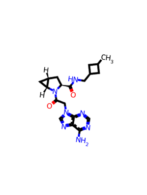 CC1CC(CNC(=O)[C@@H]2C[C@H]3C[C@H]3N2C(=O)Cn2cnc3c(N)ncnc32)C1